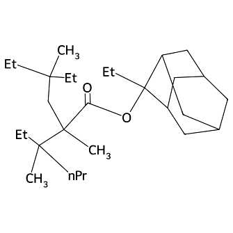 CCCC(C)(CC)C(C)(CC(C)(CC)CC)C(=O)OC1(CC)C2CC3CC(C2)CC1C3